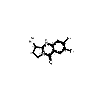 O=c1c2cc(F)c(F)cc2nc2n1CCC2Br